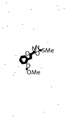 COCOc1cccc2oc(-c3nnc(SC)o3)cc12